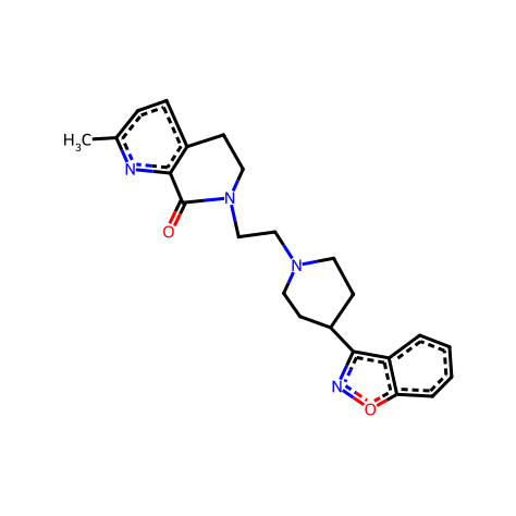 Cc1ccc2c(n1)C(=O)N(CCN1CCC(c3noc4ccccc34)CC1)CC2